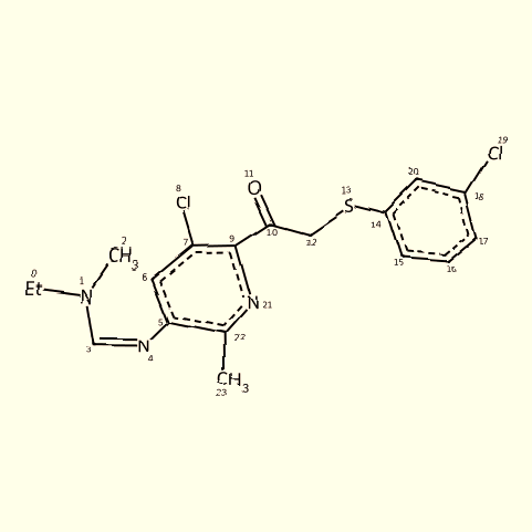 CCN(C)/C=N\c1cc(Cl)c(C(=O)CSc2cccc(Cl)c2)nc1C